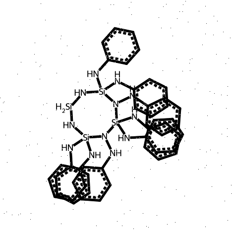 c1ccc(NN2[Si](Nc3ccccc3)(Nc3ccccc3)N[SiH2]N[Si](Nc3ccccc3)(Nc3ccccc3)N(Nc3ccccc3)[Si]2(Nc2ccccc2)Nc2ccccc2)cc1